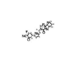 C[C@@H](Cn1ccc(-c2cc(F)c(C#N)c(Cl)c2)n1)NC(=O)c1nc2cccnc2n1F